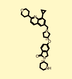 O=C1c2ccc(O[C@H]3CCN(Cc4cc(C5CC5)c5nc(C6CCOCC6)ccc5c4)C3)cc2CN1[C@H]1CCCNC1